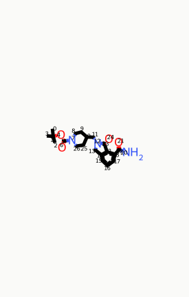 CC(C)(C)OC(=O)N1CCC(CN2Cc3cccc(C(N)=O)c3C2=O)CC1